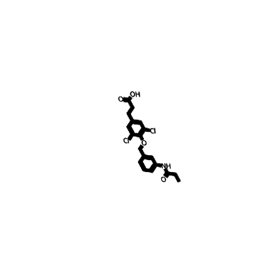 CCC(=O)Nc1cccc(COc2c(Cl)cc(CCC(=O)O)cc2Cl)c1